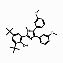 COc1cccc(-c2nc(-c3cc(C(C)(C)C)cc(C(C)(C)C)c3O)n(C)c2-c2cccc(OC)c2)c1